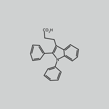 O=C(O)CCc1c(-c2ccccc2)n(-c2ccccc2)c2ccccc12